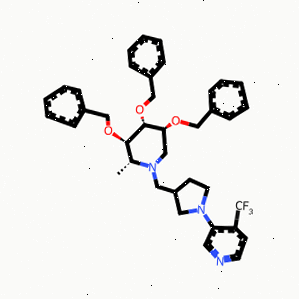 C[C@@H]1[C@@H](OCc2ccccc2)[C@H](OCc2ccccc2)[C@@H](OCc2ccccc2)CN1CC1CCN(c2cnccc2C(F)(F)F)C1